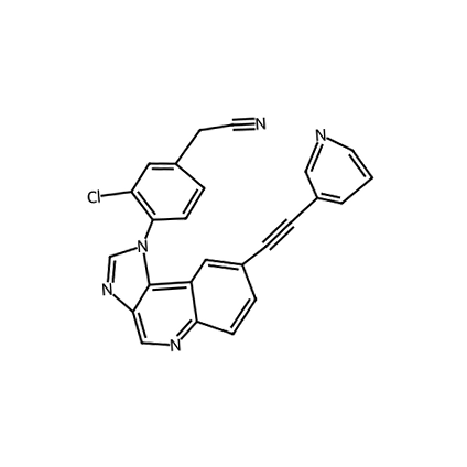 N#CCc1ccc(-n2cnc3cnc4ccc(C#Cc5cccnc5)cc4c32)c(Cl)c1